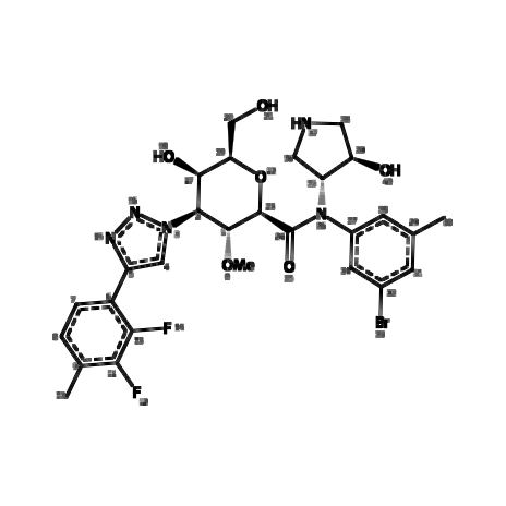 CO[C@@H]1[C@@H](n2cc(-c3ccc(C)c(F)c3F)nn2)[C@@H](O)[C@@H](CO)O[C@H]1C(=O)N(c1cc(C)cc(Br)c1)[C@@H]1CNC[C@H]1O